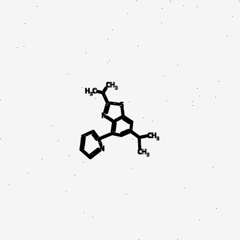 CC(C)c1cc(-c2ccccn2)c2nc(C(C)C)sc2c1